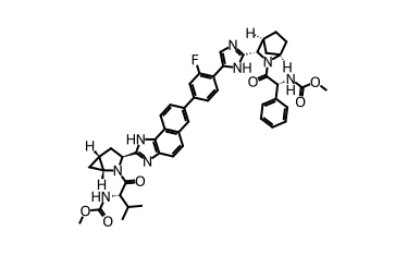 COC(=O)N[C@H](C(=O)N1[C@@H]2C[C@@H]2C[C@H]1c1nc2ccc3cc(-c4ccc(-c5cnc([C@@H]6[C@H]7CC[C@H](C7)N6C(=O)[C@H](NC(=O)OC)c6ccccc6)[nH]5)c(F)c4)ccc3c2[nH]1)C(C)C